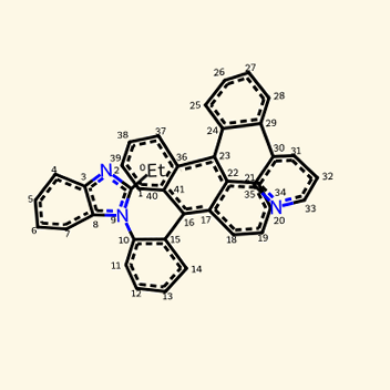 CCc1nc2ccccc2n1-c1ccccc1-c1c2ccccc2c(-c2ccccc2-c2cccnc2)c2ccccc12